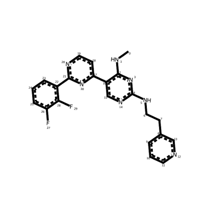 CNc1nc(NCCc2cccnc2)ncc1-c1ccnc(-c2cccc(F)c2F)n1